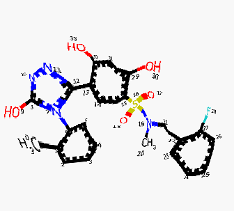 Cc1ccccc1-n1c(O)nnc1-c1cc(S(=O)(=O)N(C)Cc2ccccc2F)c(O)cc1O